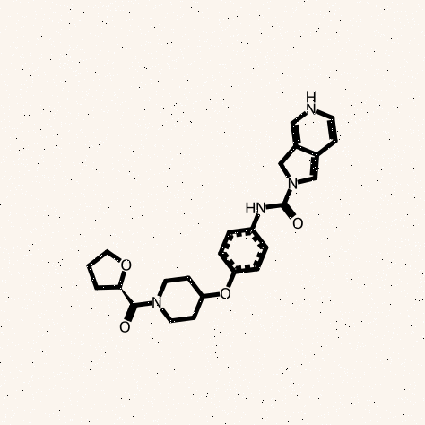 O=C(Nc1ccc(OC2CCN(C(=O)[C@H]3CCCO3)CC2)cc1)N1C=C2C=CNC=C2C1